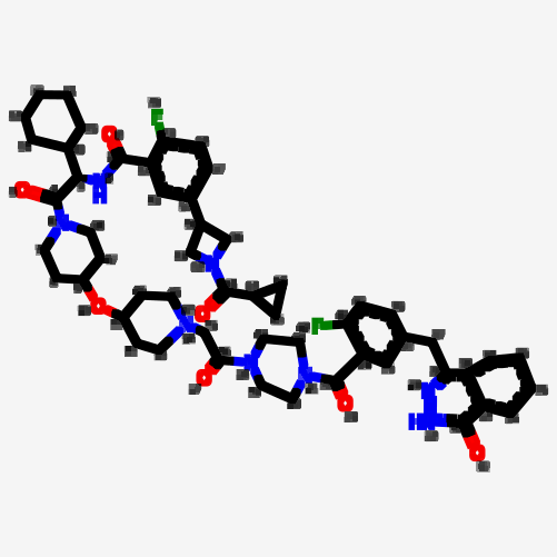 O=C(N[C@@H](C(=O)N1CCC(OC2CCN(CC(=O)N3CCN(C(=O)c4cc(Cc5n[nH]c(=O)c6ccccc56)ccc4F)CC3)CC2)CC1)C1CCCCC1)c1cc(C2CN(C(=O)C3CC3)C2)ccc1F